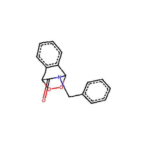 O=C1C2OOC(c3ccccc32)N1Cc1ccccc1